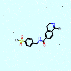 CCS(=O)(=O)c1ccc(CNC(=O)c2ccc3c(c2)CCN=C3C(C)C)cc1